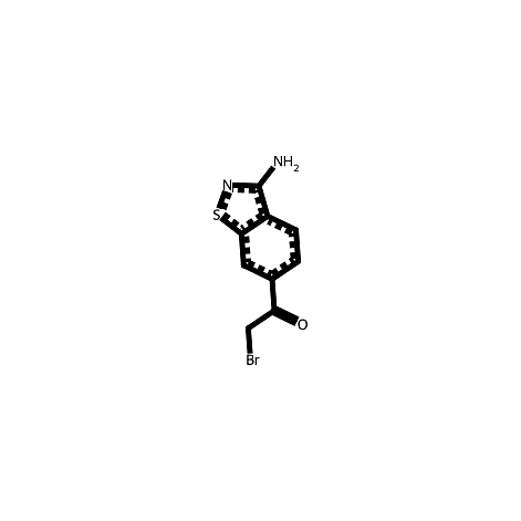 Nc1nsc2cc(C(=O)CBr)ccc12